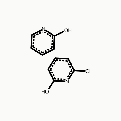 Oc1cccc(Cl)n1.Oc1ccccn1